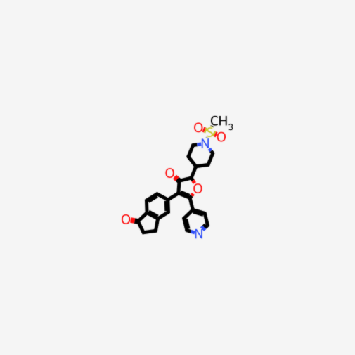 CS(=O)(=O)N1CCC(C2OC(c3ccncc3)=C(c3ccc4c(c3)CCC4=O)C2=O)CC1